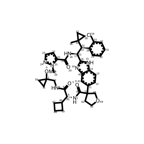 COC1(CNC(=O)[C@H](NC(=O)C2(c3ccc4[nH]c([C@@H](NC(=O)c5ccnn5C)[C@H](c5ccccc5Cl)C5(C)CC5)nc4c3)CCOC2)C2CCC2)CC1